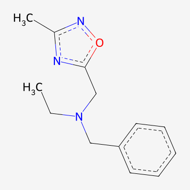 CCN(Cc1ccccc1)Cc1nc(C)no1